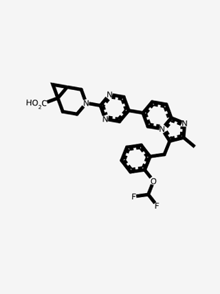 Cc1nc2ccc(-c3cnc(N4CCC5(C(=O)O)CC5C4)nc3)cn2c1Cc1ccccc1OC(F)F